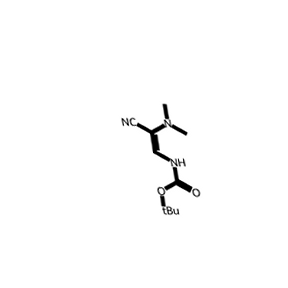 CN(C)C(C#N)=CNC(=O)OC(C)(C)C